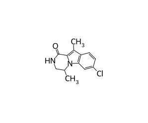 Cc1c2n(c3cc(Cl)ccc13)C(C)CNC2=O